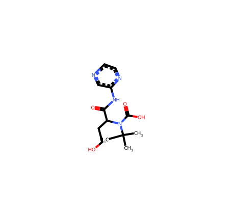 CC(C)(C)N(C(=O)O)C(CCO)C(=O)Nc1cnccn1